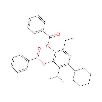 CCc1cc(C2CCCCC2)c(C(C)C)c(OC(=O)c2ccccc2)c1OC(=O)c1ccccc1